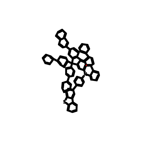 c1ccc(-c2ccc(-c3ccccc3N(c3ccc(-c4ccc5sc6ccccc6c5c4)cc3)c3ccc4c(c3)C(c3ccc(-c5ccccc5)cc3)(c3ccc(-c5ccccc5)cc3)c3cc(-c5ccc6ccccc6c5)ccc3-4)cc2)cc1